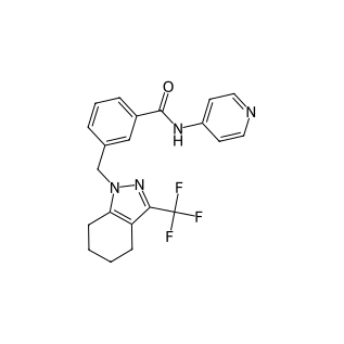 O=C(Nc1ccncc1)c1cccc(Cn2nc(C(F)(F)F)c3c2CCCC3)c1